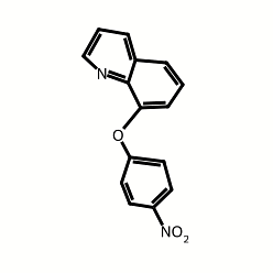 O=[N+]([O-])c1ccc(Oc2cccc3cccnc23)cc1